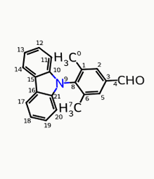 Cc1cc(C=O)cc(C)c1-n1c2ccccc2c2ccccc21